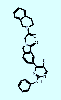 O=C(CN1Cc2ccc(-c3nc(Nc4ccccc4)ncc3Cl)cc2C1=O)N1CCc2ccccc2C1